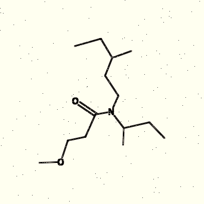 CCC(C)CCN(C(=O)CCOC)C(C)CC